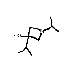 CC(C)N1CC(O)(C(C)C)C1